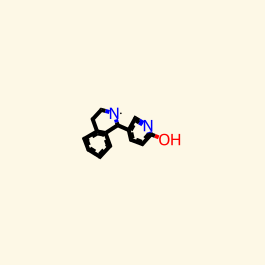 Oc1ccc(C2[N]CCc3ccccc32)cn1